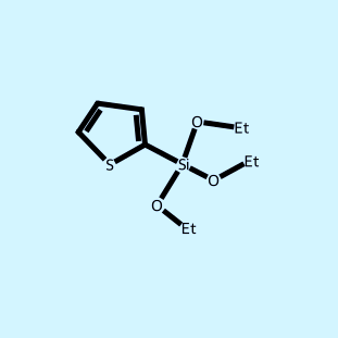 CCO[Si](OCC)(OCC)c1cccs1